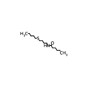 CCCCCSCCCCNC(=O)CCCCC